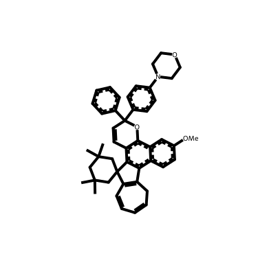 COc1ccc2c3c(c4c(c2c1)OC(c1ccccc1)(c1ccc(N2CCOCC2)cc1)C=C4)C1(CC(C)(C)CC(C)(C)C1)C1=C3CC=CC=C1